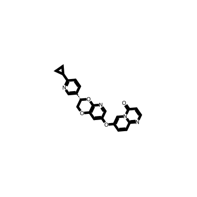 O=c1ccnc2ccc(Oc3cnc4c(c3)OC[C@H](c3ccc(C5CC5)nc3)O4)cn12